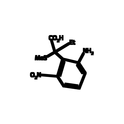 CCC(SC)(C(=O)O)c1c(N)cccc1[N+](=O)[O-]